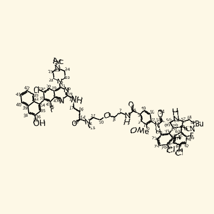 COc1cc(C(=O)NCCOCCN(C)C(=O)CCNc2nc(N3CCN(C(C)=O)CC3)c3cc(Cl)c(-c4cc(O)cc5ccccc45)c(F)c3n2)ccc1NC(=O)[C@@H]1N[C@@H](CC(C)(C)C)[C@](C#N)(c2ccc(Cl)cc2F)[C@H]1c1cccc(Cl)c1F